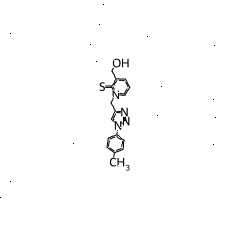 Cc1ccc(-n2cc(Cn3cccc(CO)c3=S)nn2)cc1